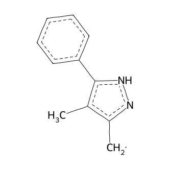 [CH2]c1n[nH]c(-c2ccccc2)c1C